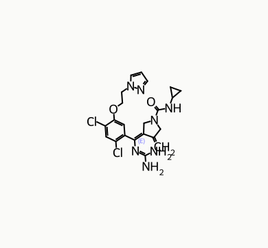 C=C1CN(C(=O)NC2CC2)C/C1=C(/N=C(N)N)c1cc(OCCn2cccn2)c(Cl)cc1Cl